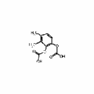 Cc1ccc(OC(=O)O)c(OC(=O)O)c1C